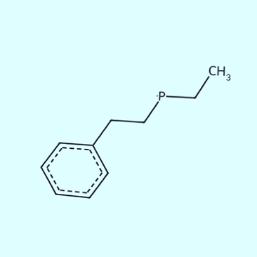 CC[P]CCc1ccccc1